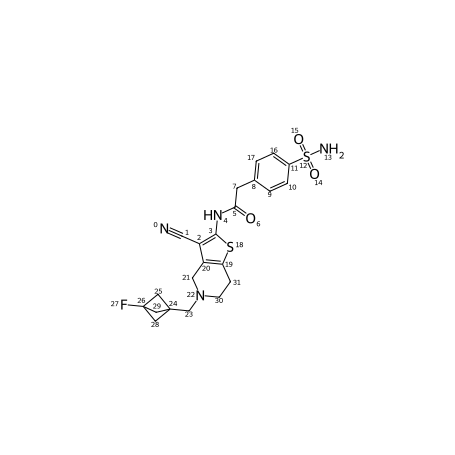 N#Cc1c(NC(=O)Cc2ccc(S(N)(=O)=O)cc2)sc2c1CN(CC13CC(F)(C1)C3)CC2